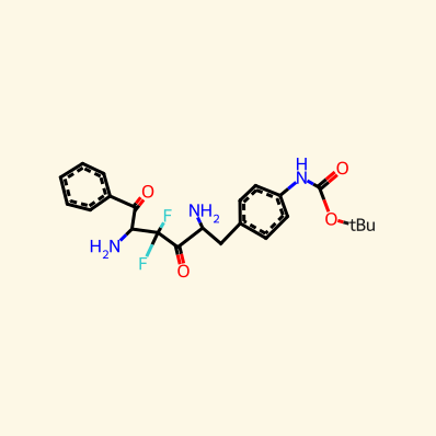 CC(C)(C)OC(=O)Nc1ccc(CC(N)C(=O)C(F)(F)C(N)C(=O)c2ccccc2)cc1